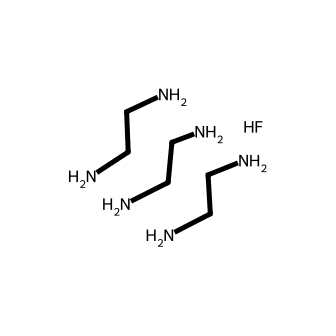 F.NCCN.NCCN.NCCN